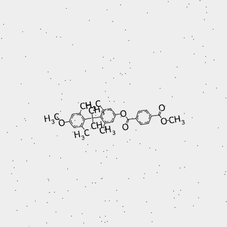 COC(=O)c1ccc(C(=O)Oc2cc(C)c(C(C)(C)c3c(C)cc(OC)cc3C)c(C)c2)cc1